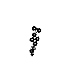 CC(C)(C)c1ccc2nc(-c3ccc(-c4ccccc4-c4ccccc4-c4ccc(-n5c6ccccc6c6ccccc65)cc4)cc3)oc2c1